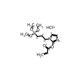 C=CC(=O)Oc1nccn1CCC[Si](OC)(OC)OC.Cl